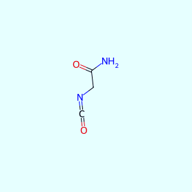 NC(=O)CN=C=O